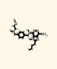 CCCCc1nc2c(N)nnc(N(C)Cc3ccc(CN(C)CCOC)cc3)c2n1C